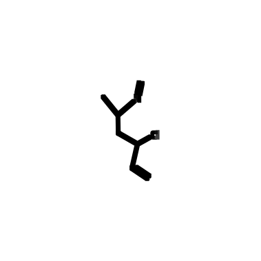 C=CC(Cl)CC(C)N=C